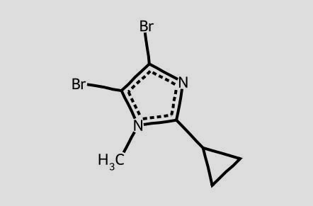 Cn1c(C2CC2)nc(Br)c1Br